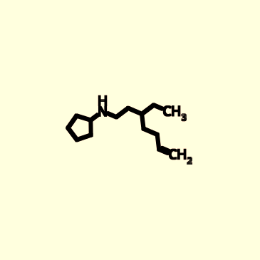 C=CCCC(CC)CCNC1CCCC1